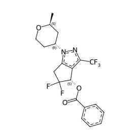 C[C@H]1C[C@H](n2nc(C(F)(F)F)c3c2CC(F)(F)[C@H]3OC(=O)c2ccccc2)CCO1